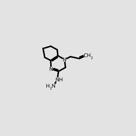 C=CCN1CC(NN)=NC2=C1CCCC2